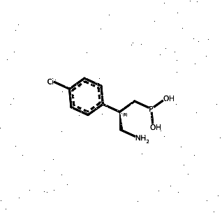 NC[C@H](CP(O)O)c1ccc(Cl)cc1